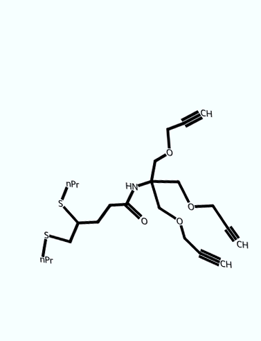 C#CCOCC(COCC#C)(COCC#C)NC(=O)CCC(CSCCC)SCCC